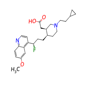 COc1ccc2nccc([C@H](F)CC[C@@H]3CCN(CCC4CC4)C[C@@H]3CC(=O)O)c2c1